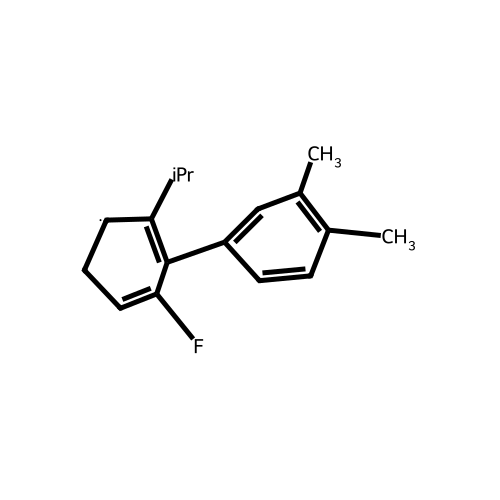 Cc1ccc(C2=C(C(C)C)[CH]CC=C2F)cc1C